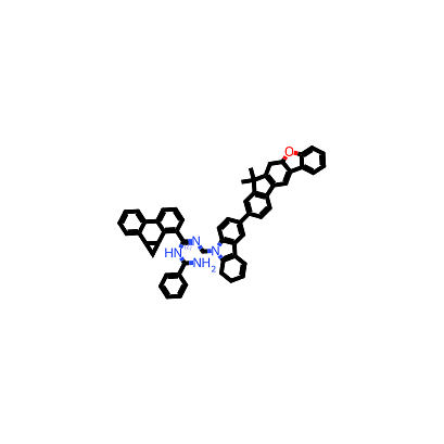 CC1(C)C2=C(C=C3c4ccccc4OC3C2)c2ccc(-c3ccc4c(c3)c3c(n4C/N=C(\NC(N)c4ccccc4)c4cccc5c4C4CC4c4ccccc4-5)CCC=C3)cc21